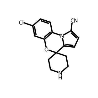 N#Cc1ccc2n1-c1ccc(Cl)cc1OC21CCNCC1